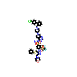 O=S(=O)(Nc1ncnc2c1CCN(C1CCN(Cc3ccccc3-c3ccc(Cl)cc3)CC1)C2)c1ccc(NC(CCN2CCOCC2)CSc2ccccc2)c(S(=O)(=O)C(F)(F)F)c1